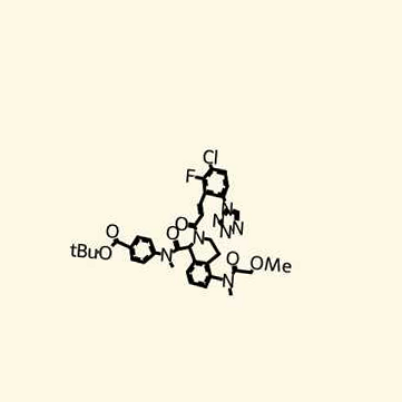 COCC(=O)N(C)c1cccc2c1CCN(C(=O)/C=C/c1c(-n3cnnn3)ccc(Cl)c1F)C2C(=O)N(C)c1ccc(C(=O)OC(C)(C)C)cc1